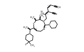 C#C/C=C\C(C#N)=C(/C)CN1C(=C)C(=C)S/C(C(=C)N2CCC(C)(F)CC2)=C\C/N=C\1N1CCCCC1